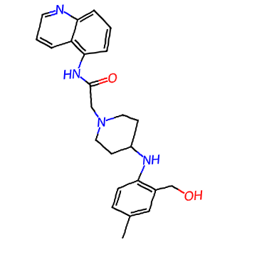 Cc1ccc(NC2CCN(CC(=O)Nc3cccc4ncccc34)CC2)c(CO)c1